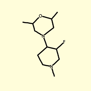 CC1CN(C2CCN(C)CC2F)CC(C)O1